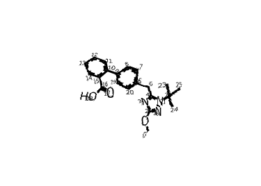 COc1nc(Cc2ccc(-c3ccccc3C(=O)O)cc2)n(C(C)(C)C)n1